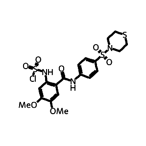 COc1cc(NS(=O)(=O)Cl)c(C(=O)Nc2ccc(S(=O)(=O)N3CCSCC3)cc2)cc1OC